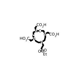 CCS(=O)(=O)CCN1CCN(CC(=O)O)CCN(CC(=O)O)CCN(CC(=O)O)CC1